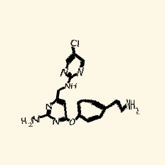 NCCc1ccc(Oc2cc(CNc3ncc(Cl)cn3)nc(N)n2)cc1